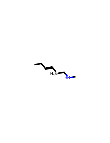 CCC=C[SiH2]CNC